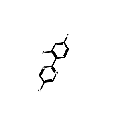 CCc1cnc(-c2ccc(F)cc2F)nc1